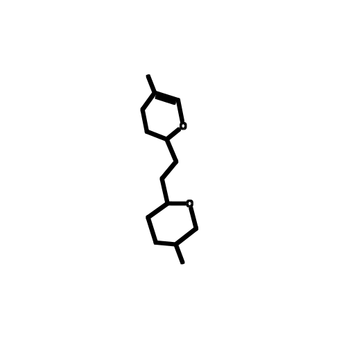 CC1=COC(CCC2CCC(C)CO2)CC1